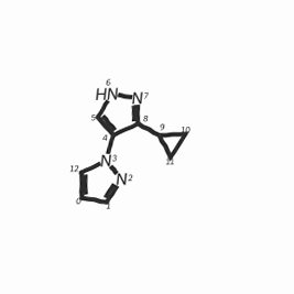 c1cnn(-c2c[nH]nc2C2CC2)c1